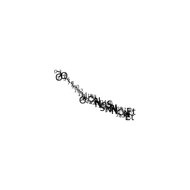 C=CC(=O)OCCCCCCCCCCC(=O)c1ccc(N=Nc2cc3sc(N=Nc4ccc(N(CC)CC)cc4)nc3s2)cc1